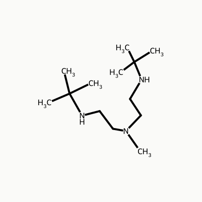 CN(CCNC(C)(C)C)CCNC(C)(C)C